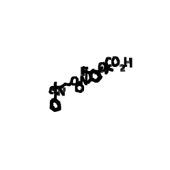 Cc1oc(-c2ccccc2)nc1CCOC(=O)NCc1ccc(OC(C)(C)C(=O)O)cc1F